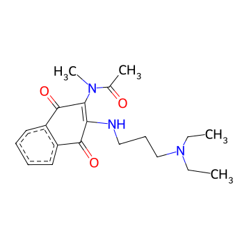 CCN(CC)CCCNC1=C(N(C)C(C)=O)C(=O)c2ccccc2C1=O